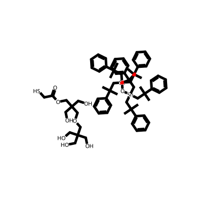 CC(C)([CH2][Sn]([CH2]C(C)(C)c1ccccc1)([CH2]C(C)(C)c1ccccc1)[O][Sn]([CH2]C(C)(C)c1ccccc1)([CH2]C(C)(C)c1ccccc1)[CH2]C(C)(C)c1ccccc1)c1ccccc1.O=C(CS)OCC(CO)(CO)COCC(CO)(CO)CO